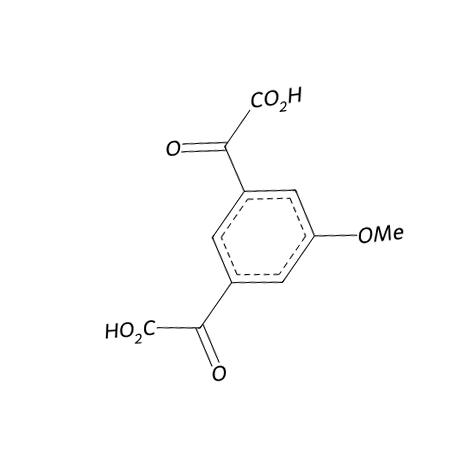 COc1cc(C(=O)C(=O)O)cc(C(=O)C(=O)O)c1